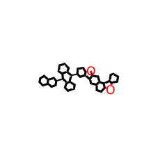 c1ccc2cc(-c3c4ccccc4c(-c4ccc5oc6cc7c(ccc8oc9ccccc9c87)cc6c5c4)c4ccccc34)ccc2c1